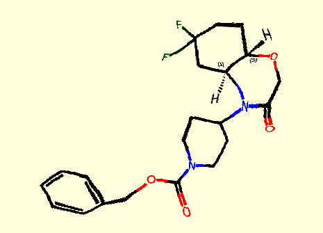 O=C(OCc1ccccc1)N1CCC(N2C(=O)CO[C@H]3CCC(F)(F)C[C@@H]32)CC1